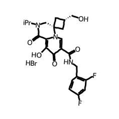 Br.CC(C)N1C[C@]2(C[C@@H](CO)C2)n2cc(C(=O)NCc3ccc(F)cc3F)c(=O)c(O)c2C1=O